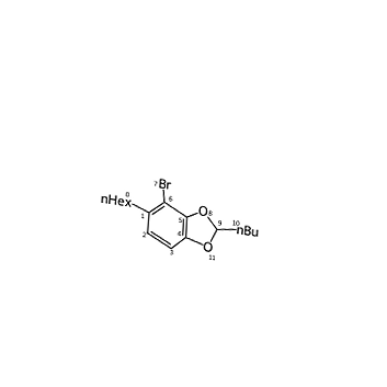 CCCCCCc1ccc2c(c1Br)OC(CCCC)O2